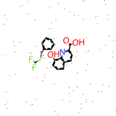 FC(F)F.Ic1ccccc1.O=C(O)c1ccc2cccc(O)c2n1